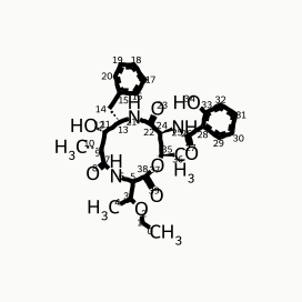 CCOC(C)C1NC(=O)[C@H](C)[C@H](O)[C@H](Cc2ccccc2)NC(=O)[C@@H](NC(=O)c2ccccc2O)[C@@H](C)OC1=O